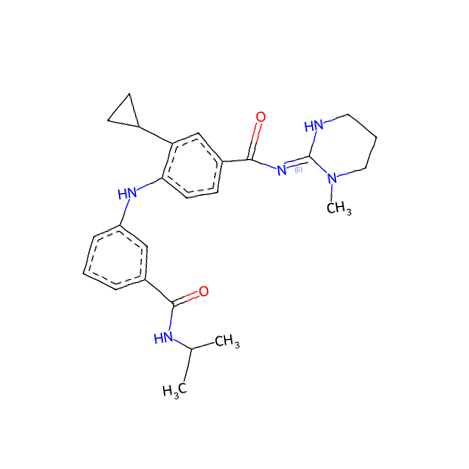 CC(C)NC(=O)c1cccc(Nc2ccc(C(=O)/N=C3\NCCCN3C)cc2C2CC2)c1